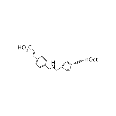 CCCCCCCCC#Cc1ccc(CNCc2ccc(C=CC(=O)O)cc2)cc1